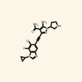 NC(=O)c1c(C#Cc2cc3ncn(C4CC4)c3c(F)c2Cl)nn(C2CCNC2)c1N